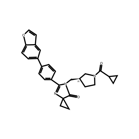 O=C(C1CC1)N1CC[C@@H](CN2C(=O)C3(CC3)N=C2c2ccc(-c3ccc4occc4c3)cc2)C1